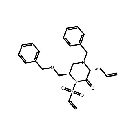 C=CC[C@@H]1C(=O)N(S(=O)(=O)C=C)[C@@H](COCc2ccccc2)CN1Cc1ccccc1